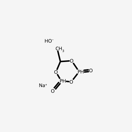 CC1O[PH](=O)O[PH](=O)O1.[Na+].[OH-]